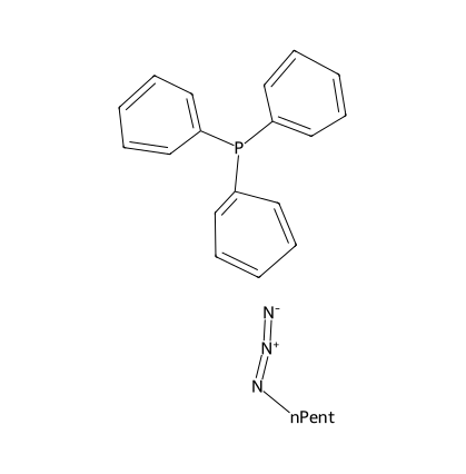 CCCCCN=[N+]=[N-].c1ccc(P(c2ccccc2)c2ccccc2)cc1